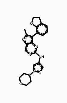 Cc1sc2cnc(Nc3cnn(C4CCOCC4)c3)nc2c1-c1cccc2c1OCC2